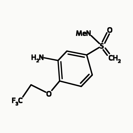 C=S(=O)(NC)c1ccc(OCC(F)(F)F)c(N)c1